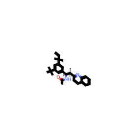 C=CC(C)(C)c1cc([C@H](NC(C)=O)[C@H](C)c2ccc3ccccc3n2)cc(C(C)(C)C)c1